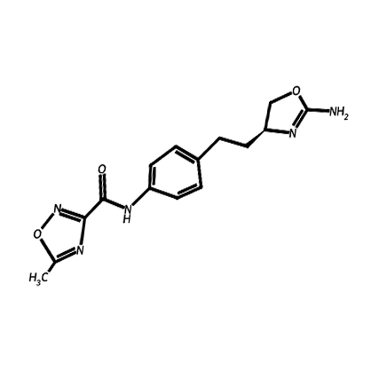 Cc1nc(C(=O)Nc2ccc(CC[C@H]3COC(N)=N3)cc2)no1